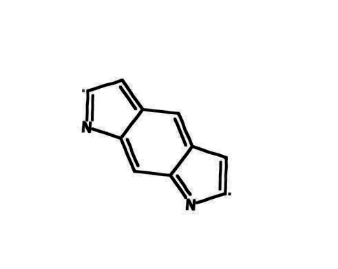 [C]1=Cc2cc3c(cc2=N1)N=[C]C=3